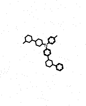 Cc1ccc(N(c2ccc(C3CCCC(c4ccccc4)C3)cc2)C2CCC(C3CCCC(C)C3)CC2)cc1